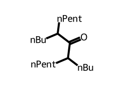 CCCCCC(CCCC)C(=O)C(CCCC)CCCCC